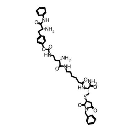 NC(=O)[C@H](CSC1CC(=O)N(Cc2ccccc2)C1=O)NC(=O)CCCCCNC(=O)[C@@H](N)CCNC(=O)Oc1ccc(C[C@H](N)C(=O)Nc2ccccc2)cc1